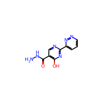 NNC(=O)c1cnc(-c2cccnn2)nc1O